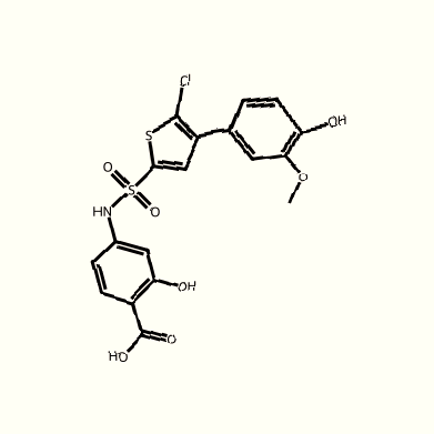 COc1cc(-c2cc(S(=O)(=O)Nc3ccc(C(=O)O)c(O)c3)sc2Cl)ccc1O